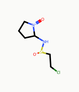 O=[N+]1CCCC1N[S+]([O-])CCCl